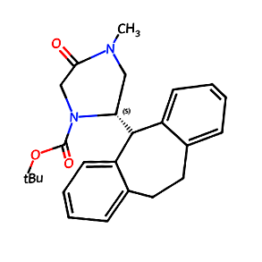 CN1C[C@H](C2c3ccccc3CCc3ccccc32)N(C(=O)OC(C)(C)C)CC1=O